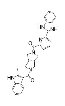 Cc1[nH]c2ccccc2c1C(=O)N1CC2CN(C(=O)c3cccc(C4Nc5ccccc5N4)n3)CC2C1